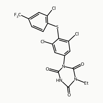 CCn1c(=O)[nH]c(=O)n(-c2cc(Cl)c(Sc3ccc(C(F)(F)F)cc3Cl)c(Cl)c2)c1=O